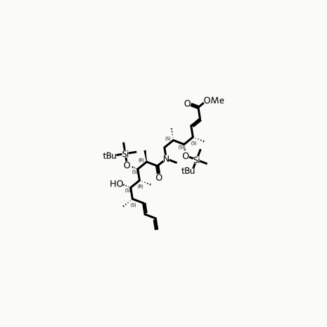 C=CC=C[C@H](C)[C@H](O)[C@@H](C)[C@H](O[Si](C)(C)C(C)(C)C)[C@@H](C)C(=O)N(C)C[C@H](C)[C@@H](O[Si](C)(C)C(C)(C)C)[C@@H](C)C=CC(=O)OC